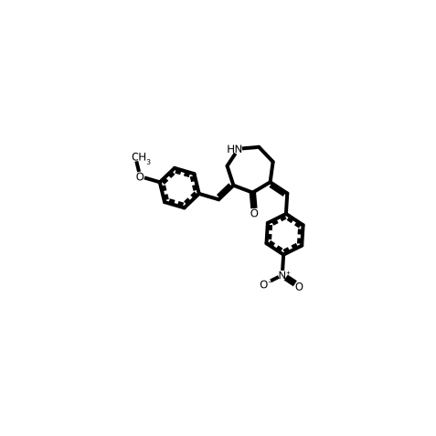 COc1ccc(C=C2CNCCC(=Cc3ccc([N+](=O)[O-])cc3)C2=O)cc1